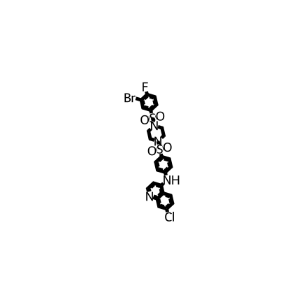 O=S(=O)(c1ccc(Nc2ccnc3cc(Cl)ccc23)cc1)N1CCN(S(=O)(=O)c2ccc(F)c(Br)c2)CC1